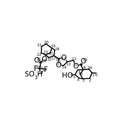 CC1CC2CC(O)CC(C(=O)OCC3COC(C4CC5CCCC(OC(=O)C(F)(F)S(=O)(=O)O)(C5)C4)O3)(C1)C2